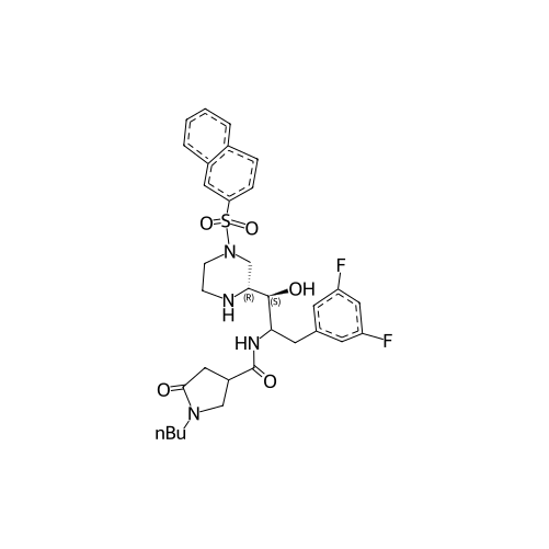 CCCCN1CC(C(=O)NC(Cc2cc(F)cc(F)c2)[C@H](O)[C@H]2CN(S(=O)(=O)c3ccc4ccccc4c3)CCN2)CC1=O